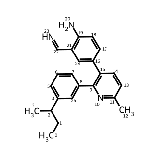 CCC(C)c1cccc(-c2nc(C)ccc2-c2ccc(N)c(C=N)c2)c1